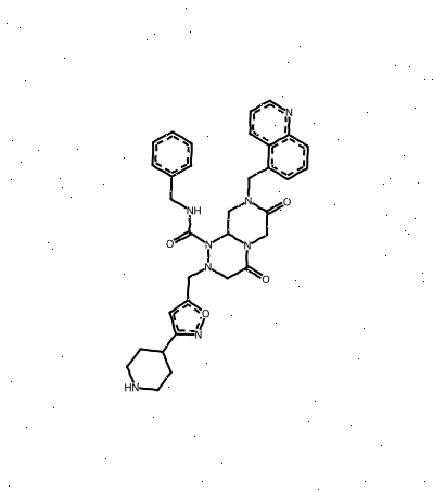 O=C1CN2C(=O)CN(Cc3cc(C4CCNCC4)no3)N(C(=O)NCc3ccccc3)C2CN1Cc1cccc2ncccc12